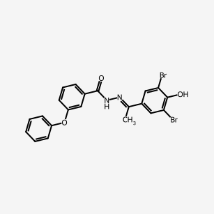 C/C(=N\NC(=O)c1cccc(Oc2ccccc2)c1)c1cc(Br)c(O)c(Br)c1